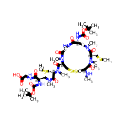 CN[C@H]1CSSC[C@@H](C(=O)N(C)[C@@H](CSC)C(=O)N(C)C[C@@H](NC(=O)OC(C)(C)C)C(=O)NCC(=O)O)N(C)C(=O)CNC(=O)[C@H](NC(=O)OC(C)(C)C)CN(C)C(=O)[C@H](CSC)N(C)C1=O